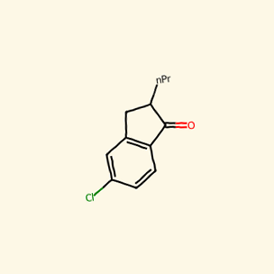 CCCC1Cc2cc(Cl)ccc2C1=O